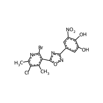 Cc1nc(Br)c(-c2nc(-c3cc(O)c(O)c([N+](=O)[O-])c3)no2)c(C)c1Cl